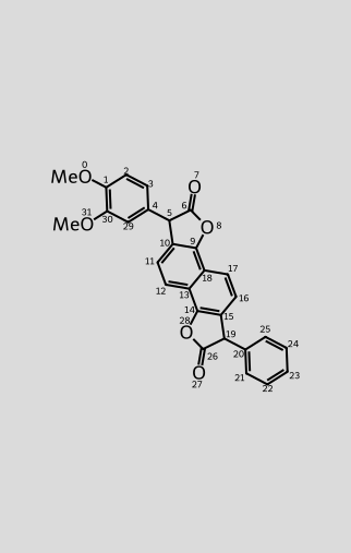 COc1ccc(C2C(=O)Oc3c2ccc2c4c(ccc32)C(c2ccccc2)C(=O)O4)cc1OC